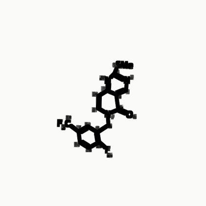 CSc1ncc2c(=O)n(Cc3cc(C(F)(F)F)ccc3F)ccc2n1